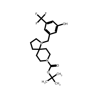 CC(C)(C)OC(=O)N1CCC2(CCCN2Cc2cc(O)cc(C(F)(F)F)c2)CC1